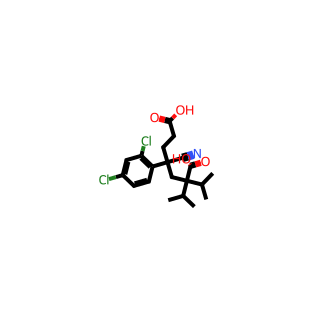 CC(C)C(CC(C#N)(CCC(=O)O)c1ccc(Cl)cc1Cl)(C(=O)O)C(C)C